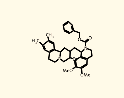 CCC1CN2CCc3cc(C)c(C)cc3C2CC1CC1c2cc(OC)c(OC)cc2CCN1C(=O)OCc1ccccc1